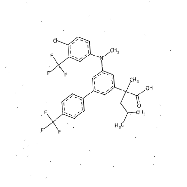 CC(C)CC(C)(C(=O)O)c1cc(-c2ccc(C(F)(F)F)cc2)cc(N(C)c2ccc(Cl)c(C(F)(F)F)c2)c1